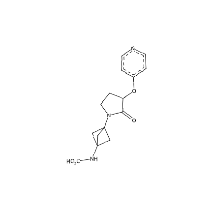 O=C(O)NC12CC(N3CCC(Oc4ccncc4)C3=O)(C1)C2